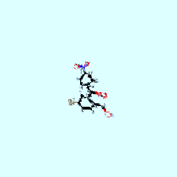 O=[C]c1ccc(Br)cc1C(=O)c1ccc([N+](=O)[O-])cc1